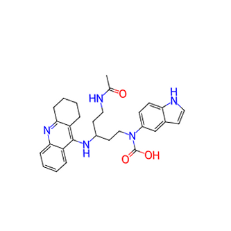 CC(=O)NCCC(CCN(C(=O)O)c1ccc2[nH]ccc2c1)Nc1c2c(nc3ccccc13)CCCC2